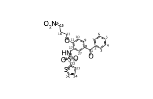 O=C(c1ccccc1)c1ccc(OCCC[N+](=O)[O-])c(NS(=O)(=O)c2cccs2)c1